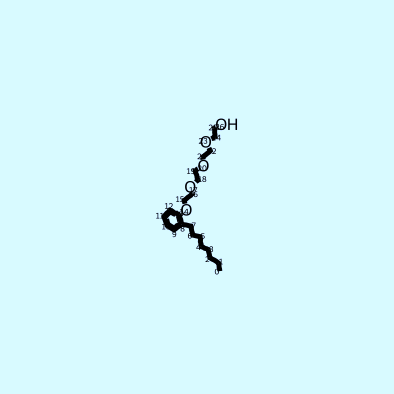 CCCCCCCCc1ccccc1OCCOCCOCCOCCO